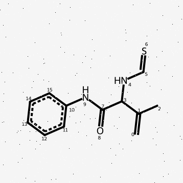 C=C(C)C(NC=S)C(=O)Nc1ccccc1